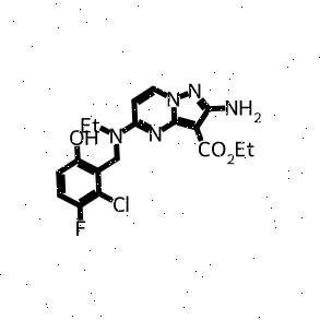 CCOC(=O)c1c(N)nn2ccc(N(CC)Cc3c(O)ccc(F)c3Cl)nc12